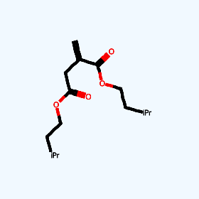 C=C(CC(=O)OCCC(C)C)C(=O)OCCC(C)C